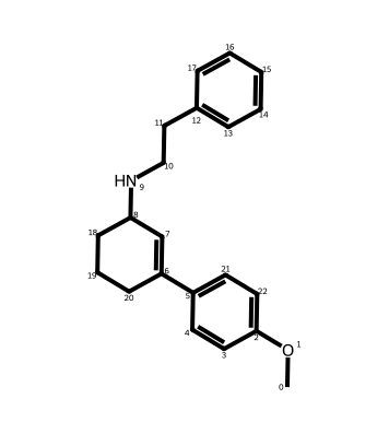 COc1ccc(C2=CC(NCCc3ccccc3)CCC2)cc1